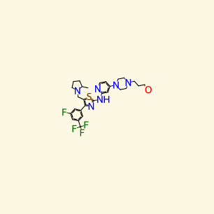 CC1CCCN1Cc1sc(Nc2cc(N3CCN(CCC=O)CC3)ccn2)nc1-c1cc(F)cc(C(F)(F)F)c1